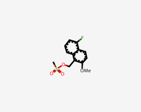 COc1ccc2c(F)cccc2c1COS(C)(=O)=O